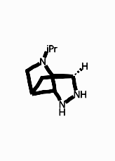 CC(C)N1CC2C[C@@H]3NNC2C31